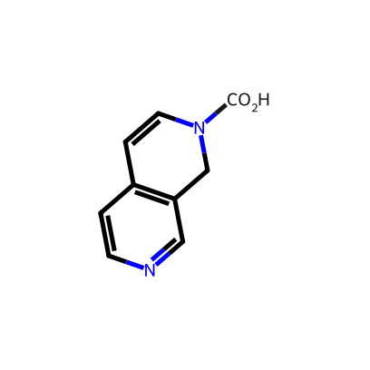 O=C(O)N1C=Cc2ccncc2C1